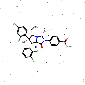 COC(=O)c1ccc(N2C(=O)[C@H]3[C@H](c4cccc(Cl)c4F)[C@@](C#N)(c4ccc(Cl)cc4F)[C@H](CC(C)(C)C)N3[C@@H]2C(C)C)cc1